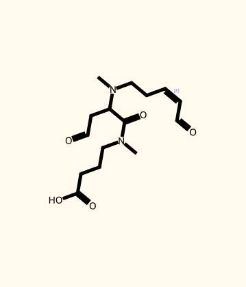 CN(CCCC(=O)O)C(=O)C(CC=O)N(C)CC/C=C\C=O